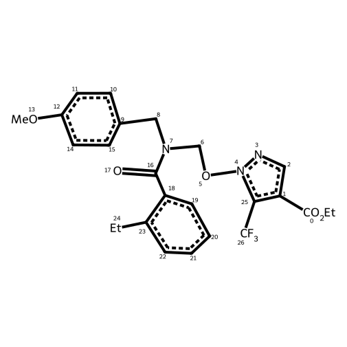 CCOC(=O)c1cnn(OCN(Cc2ccc(OC)cc2)C(=O)c2ccccc2CC)c1C(F)(F)F